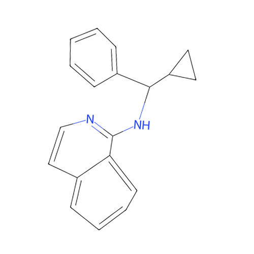 c1ccc(C(Nc2nccc3ccccc23)C2CC2)cc1